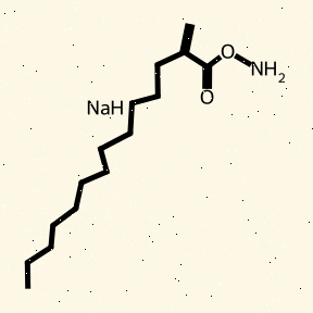 C=C(CCCCCCCCCCCC)C(=O)ON.[NaH]